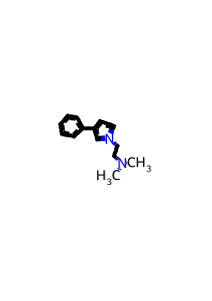 CN(C)CCn1ccc(-c2ccccc2)c1